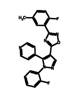 Cc1ccc(F)c(-c2noc(-c3cnn(-c4ccccc4F)c3-c3ccncc3)n2)c1